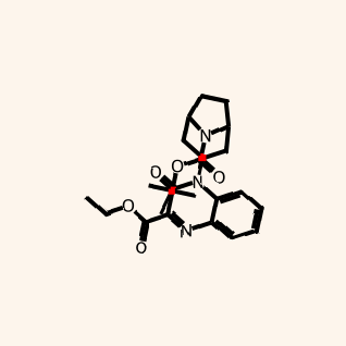 CCOC(=O)c1nc2ccccc2n(C2CC3CCC(C2)N3C(=O)OC(C)(C)C)c1=O